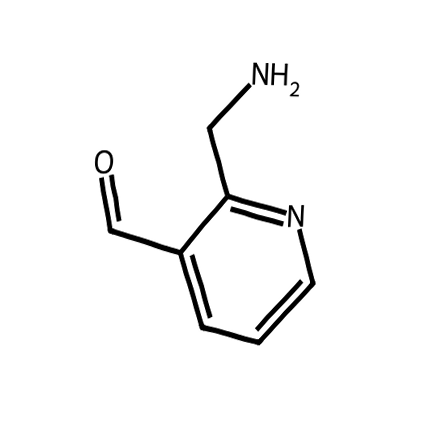 NCc1ncccc1C=O